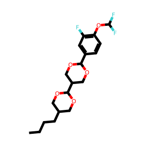 CCCCC1COC(C2COC(c3ccc(OC(F)F)c(F)c3)OC2)OC1